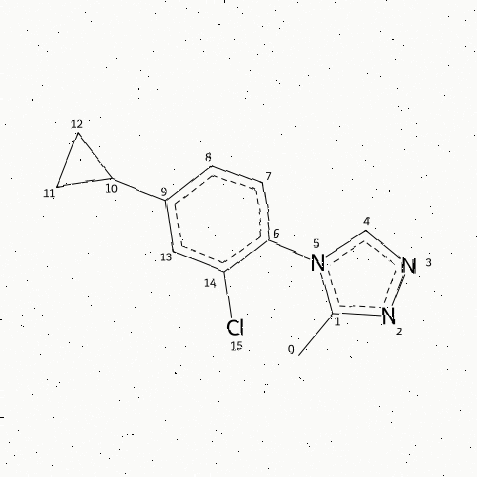 Cc1nncn1-c1ccc(C2CC2)cc1Cl